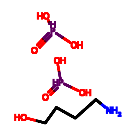 NCCCCO.O=[PH](O)O.O=[PH](O)O